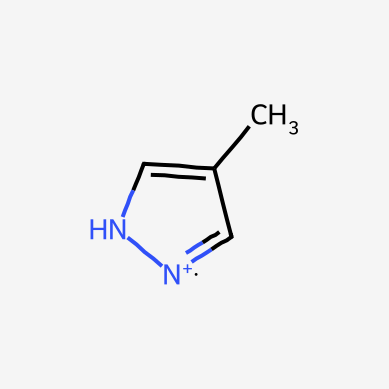 CC1=CN[N+]=C1